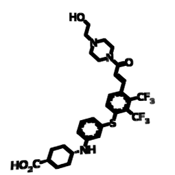 O=C(/C=C/c1ccc(Sc2cccc(N[C@H]3CC[C@H](C(=O)O)CC3)c2)c(C(F)(F)F)c1C(F)(F)F)N1CCN(CCO)CC1